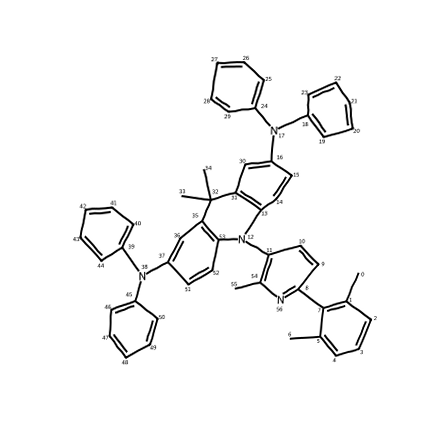 Cc1cccc(C)c1-c1ccc(N2c3ccc(N(c4ccccc4)c4ccccc4)cc3C(C)(C)c3cc(N(c4ccccc4)c4ccccc4)ccc32)c(C)n1